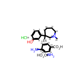 CCC1(c2cccc(O)c2)CCCCN(C)C1.Cl.NC(=O)O.Nc1ccc(C(=O)O)cc1